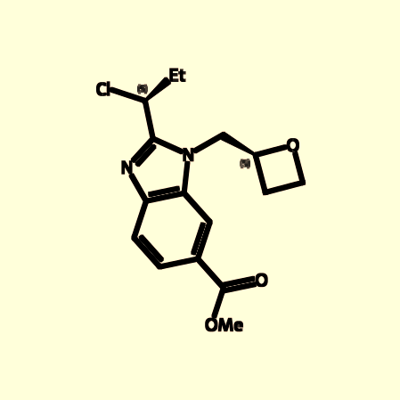 CC[C@H](Cl)c1nc2ccc(C(=O)OC)cc2n1C[C@@H]1CCO1